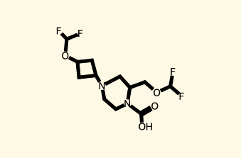 O=C(O)N1CCN(C2CC(OC(F)F)C2)CC1COC(F)F